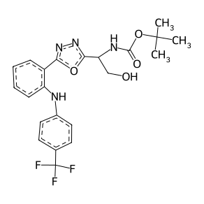 CC(C)(C)OC(=O)NC(CO)c1nnc(-c2ccccc2Nc2ccc(C(F)(F)F)cc2)o1